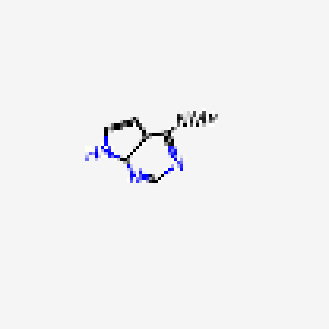 CNC1=NC=NC2NC=CC12